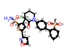 CS(=O)(=O)c1ccccc1-c1ccc(N2CCCC(F)(c3cc(-c4ccon4)sc3S(N)(=O)=O)C2=O)cc1